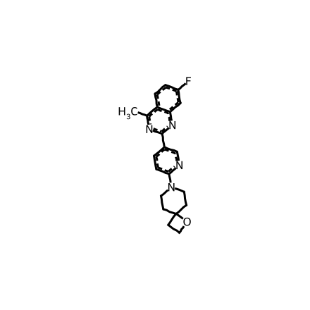 Cc1nc(-c2ccc(N3CCC4(CCO4)CC3)nc2)nc2cc(F)ccc12